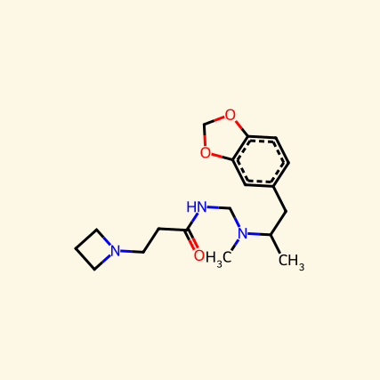 CC(Cc1ccc2c(c1)OCO2)N(C)CNC(=O)CCN1CCC1